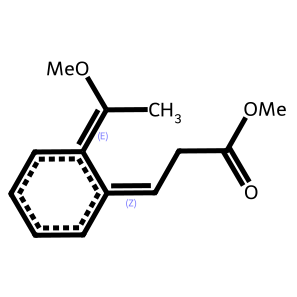 COC(=O)C/C=c1/cccc/c1=C(/C)OC